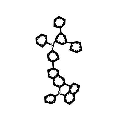 c1ccc(-c2cc(-c3ccccc3)cc(N(c3ccccc3)c3ccc(-c4ccc5cc6c(cc5c4)-c4cccc5cccc(c45)N6c4ccccc4)cc3)c2)cc1